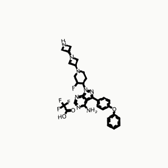 Nc1ncnc2c1c(-c1ccc(Oc3ccccc3)cc1)nn2C1CCN(C2CN(C3CNC3)C2)CC1F.O=C(O)C(F)(F)F